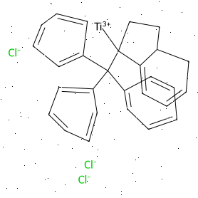 [Cl-].[Cl-].[Cl-].[Ti+3][C]1(C(c2ccccc2)(c2ccccc2)c2ccccc2)CCC2CC=CC=C21